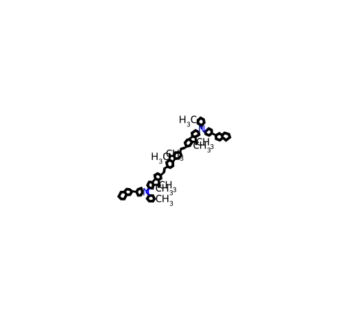 Cc1cccc(N(c2ccc(-c3ccc4ccccc4c3)cc2)c2ccc3c(c2)C(C)(C)c2cc(/C=C/c4ccc5c(c4)C(C)(C)c4cc(/C=C/c6ccc7c(c6)C(C)(C)c6cc(N(c8ccc(-c9ccc%10ccccc%10c9)cc8)c8cccc(C)c8)ccc6-7)ccc4-5)ccc2-3)c1